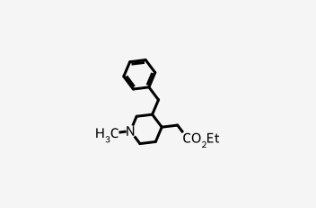 CCOC(=O)CC1CCN(C)CC1Cc1ccccc1